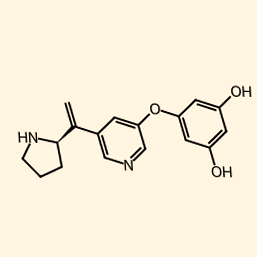 C=C(c1cncc(Oc2cc(O)cc(O)c2)c1)[C@H]1CCCN1